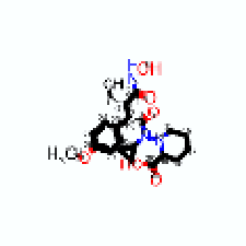 CC[C@H](C(=O)NO)[C@H](C(=O)N(C1CC1)N1CCCCC1C(=O)O)c1ccc(OC)cc1